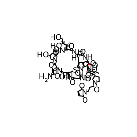 CC[C@H](C)[C@@H]1NC(=O)CNC(=O)[C@@H]2Cc3c([nH]c4c(CSC5CCN(C(=O)CCN6C(=O)C=CC6=O)C5)c(OC)ccc34)[S+]([O-])C[C@H](NC(=O)CNC1=O)C(=O)N[C@@H](CC(N)=O)C(=O)N1C[C@H](O)C[C@@H]1C(=O)N[C@@H]([C@@H](C)[C@@H](O)CO)C(=O)N2